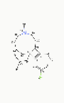 CCC1=C(/C=C(\C)F)C2(CC(C)C)CCCCN(C)CCC12